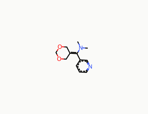 CN(C)C(=C1COCOC1)c1cccnc1